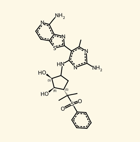 Cc1nc(N)nc(NC2C[C@H](C(C)(C)S(=O)(=O)c3ccccc3)[C@@H](O)[C@H]2O)c1-c1nc2c(N)nccc2s1